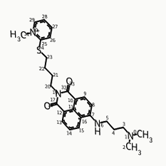 CN(C)CCCNc1ccc2c3c(cccc13)C(=O)N(CCCCSc1cccc[n+]1C)C2=O